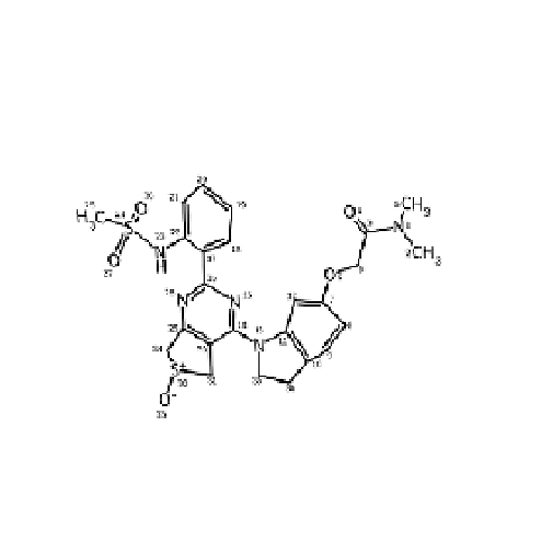 CN(C)C(=O)COc1ccc2c(c1)N(c1nc(-c3ccccc3NS(C)(=O)=O)nc3c1C[S+]([O-])C3)CC2